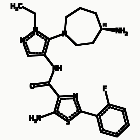 CCn1ncc(NC(=O)c2nc(-c3ccccc3F)sc2N)c1N1CCC[C@@H](N)CC1